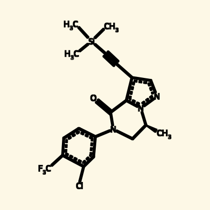 C[C@H]1CN(c2ccc(C(F)(F)F)c(Cl)c2)C(=O)c2c(C#C[Si](C)(C)C)cnn21